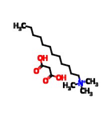 CCCCCCCCCCCC[N+](C)(C)C.O=C(O)CC(=O)O